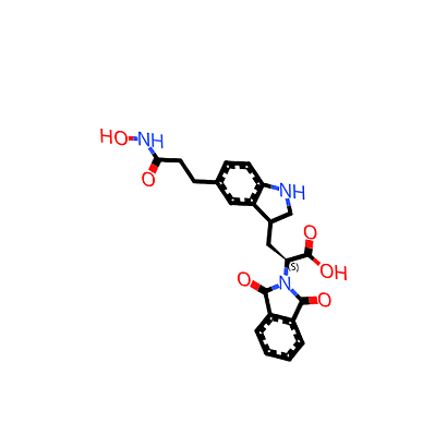 O=C(CCc1ccc2c(c1)C(C[C@@H](C(=O)O)N1C(=O)c3ccccc3C1=O)CN2)NO